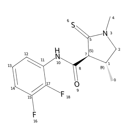 C[C@H]1CN(C)C(=S)[C@@H]1C(=O)Nc1cccc(F)c1F